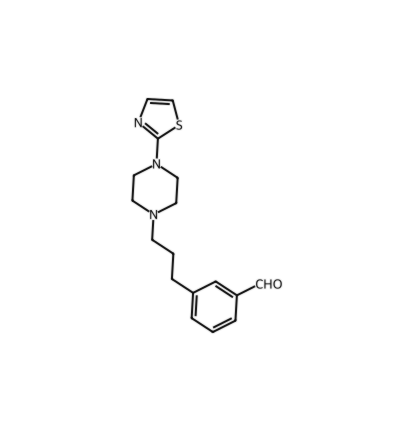 O=Cc1cccc(CCCN2CCN(c3nccs3)CC2)c1